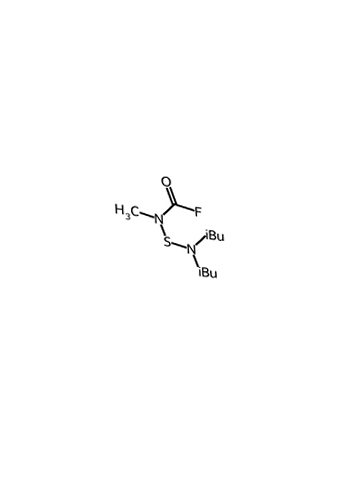 CCC(C)N(SN(C)C(=O)F)C(C)CC